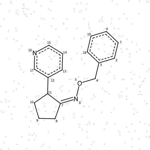 c1ccc(CON=C2CCCC2c2cccnc2)cc1